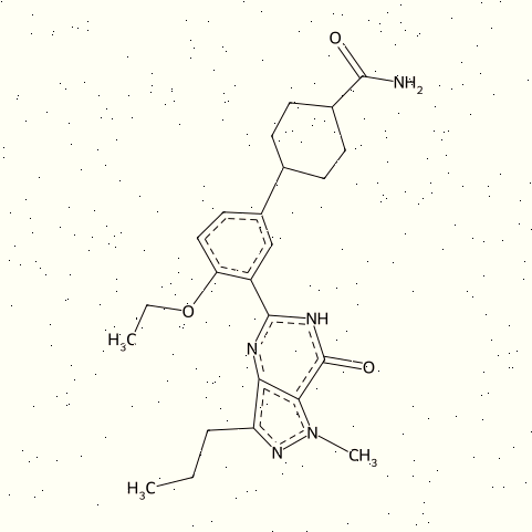 CCCc1nn(C)c2c(=O)[nH]c(-c3cc(C4CCC(C(N)=O)CC4)ccc3OCC)nc12